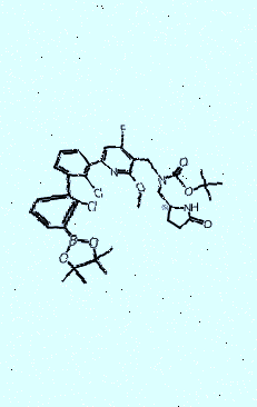 COc1nc(-c2cccc(-c3cccc(B4OC(C)(C)C(C)(C)O4)c3Cl)c2Cl)cc(F)c1CN(C[C@@H]1CCC(=O)N1)C(=O)OC(C)(C)C